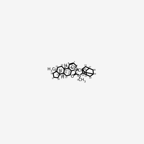 CN(C(=O)[N+]1(C)CC=C[C@@]2(C)C1CC[C@H]1[C@@H]3CCC[C@@]3(C)CC[C@@H]12)C1C2CC3CC(C2)CC1C3